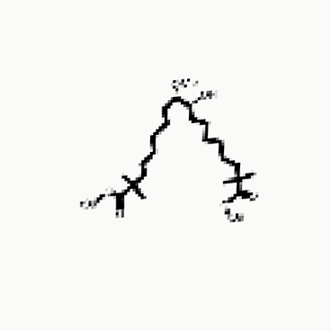 CO[C@@H](CCCCCCC(C)(C)C(=O)OC(C)(C)C)[C@@H](O)CCCCCCC(C)(C)C(=O)OC(C)(C)C